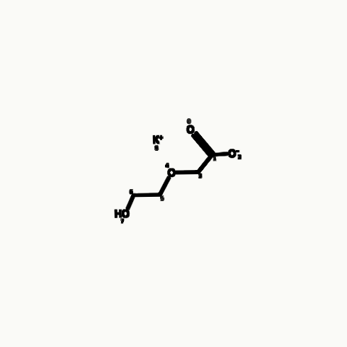 O=C([O-])COCCO.[K+]